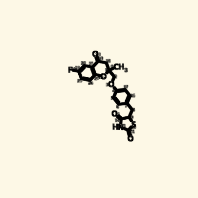 CC1(COc2ccc(CC3SC(=O)NC3=O)cc2)CC(=O)c2cc(F)ccc2O1